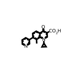 Cc1c(-c2cccnc2)ccc2c(=O)c(C(=O)O)cn(C3CC3)c12